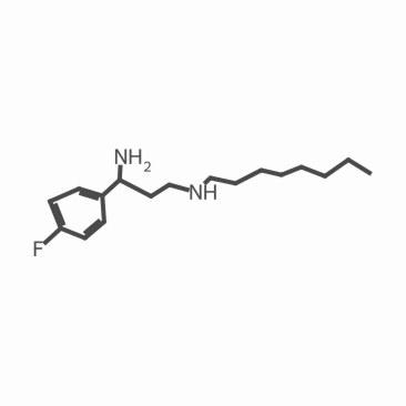 CCCCCCCCNCCC(N)c1ccc(F)cc1